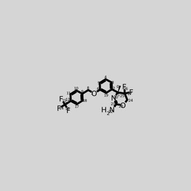 C[C@]1(c2cccc(OCc3ccc(C(F)(F)F)cc3)c2)N=C(N)OCC1(F)F